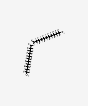 FC(OC(F)C(F)(F)C(F)(F)C(F)(F)C(F)(F)C(F)(F)C(F)(F)C(F)(F)C(F)(F)C(F)(F)C(F)(F)C(F)(F)F)C(F)(F)C(F)(F)C(F)(F)C(F)(F)C(F)(F)C(F)(F)C(F)(F)C(F)(F)C(F)(F)C(F)(F)C(F)(F)F